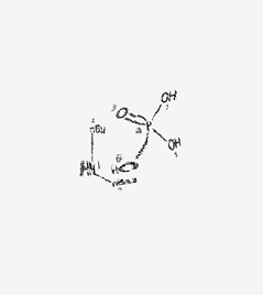 CCCCNCCCC.O=P(O)(O)O